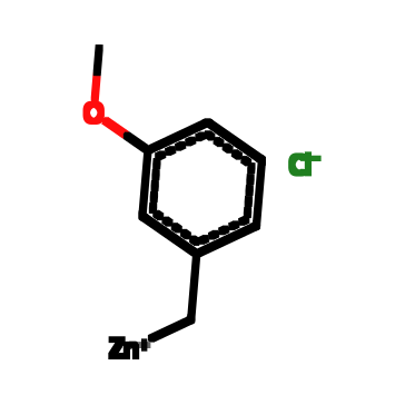 COc1cccc([CH2][Zn+])c1.[Cl-]